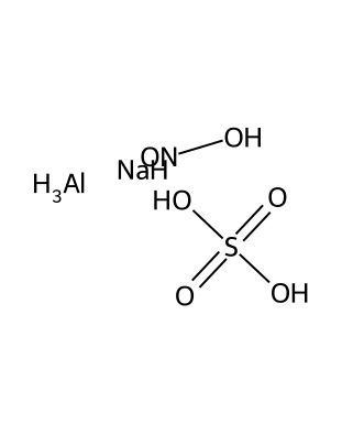 O=NO.O=S(=O)(O)O.[AlH3].[NaH]